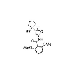 COc1cccc(OC)c1C(=O)Nc1cc(C2(C(C)C)CCCC2)no1